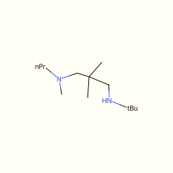 CCCN(C)CC(C)(C)CNC(C)(C)C